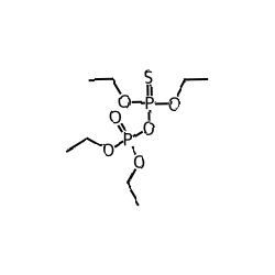 CCOP(=O)(OCC)OP(=S)(OCC)OCC